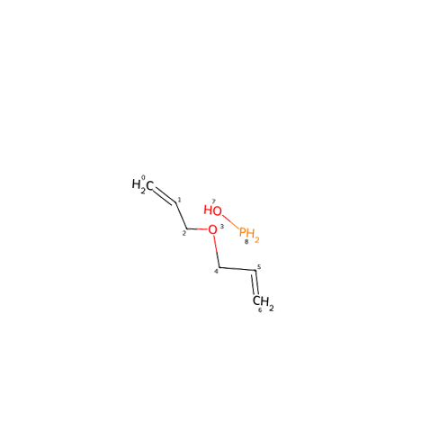 C=CCOCC=C.OP